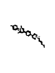 CCCCCC[n+]1ccc(-c2ccc(-c3cc(C)[n+](-c4ccc(C)cc4)c(C)c3)cc2)cc1